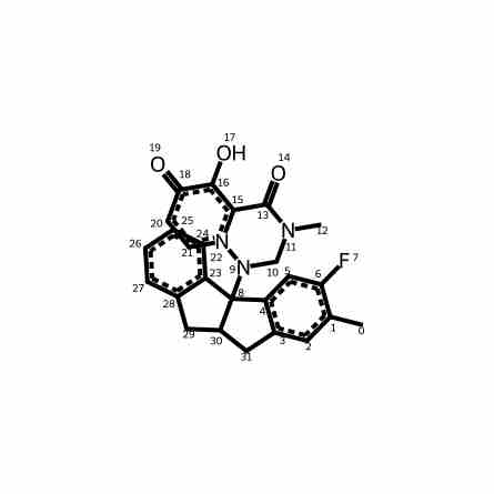 Cc1cc2c(cc1F)C1(N3CN(C)C(=O)c4c(O)c(=O)ccn43)c3ccccc3CC1C2